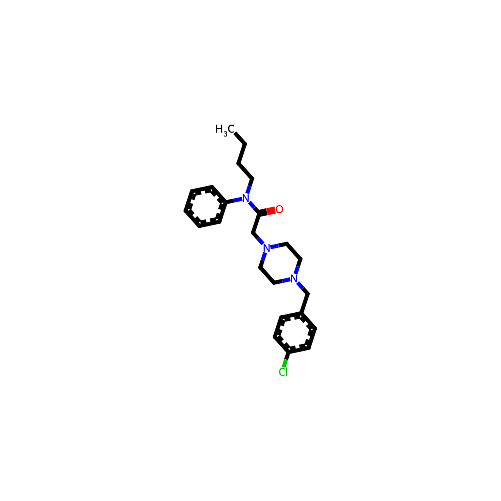 CCCCN(C(=O)CN1CCN(Cc2ccc(Cl)cc2)CC1)c1ccccc1